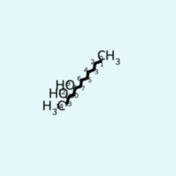 CCCCCCCCC(O)CC(O)CC